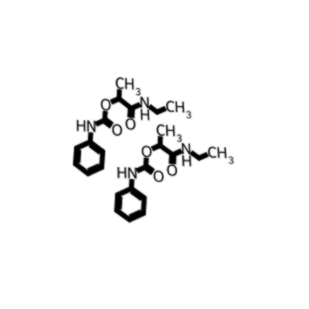 CCNC(=O)C(C)OC(=O)Nc1ccccc1.CCNC(=O)C(C)OC(=O)Nc1ccccc1